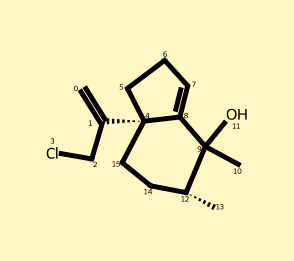 C=C(CCl)[C@]12CCC=C1C(C)(O)[C@H](C)CC2